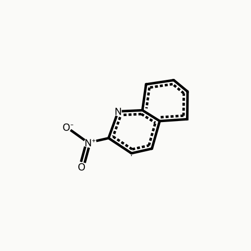 O=[N+]([O-])c1[c]cc2ccccc2n1